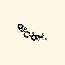 O=C(O)c1cc2c(Br)c(N3CCCN(S(=O)(=O)c4ccccc4Cl)CC3)ccc2o1